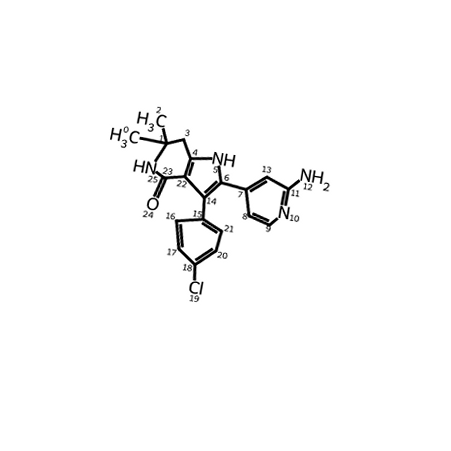 CC1(C)Cc2[nH]c(-c3ccnc(N)c3)c(-c3ccc(Cl)cc3)c2C(=O)N1